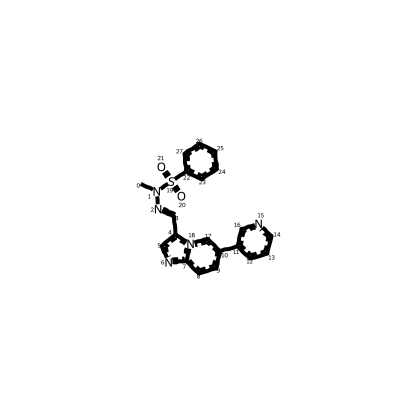 CN(N=Cc1cnc2ccc(-c3cccnc3)cn12)S(=O)(=O)c1ccccc1